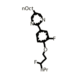 CCCCCCCCc1cnc(-c2ccc(OCCC(F)CCC)c(F)c2)nc1